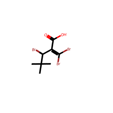 CC(C)(C)C(Br)C(C(=O)O)=C(Br)Br